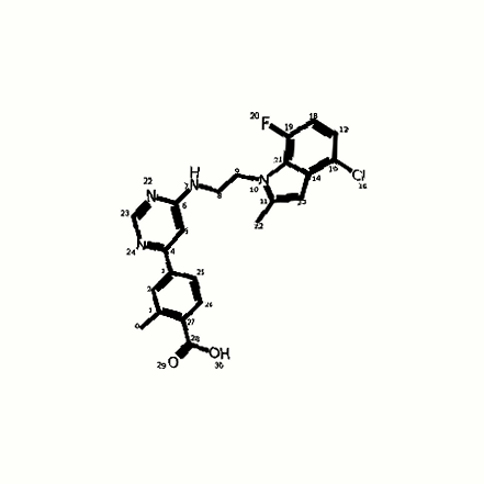 Cc1cc(-c2cc(NCCn3c(C)cc4c(Cl)ccc(F)c43)ncn2)ccc1C(=O)O